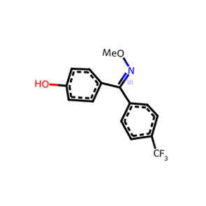 CO/N=C(\c1ccc(O)cc1)c1ccc(C(F)(F)F)cc1